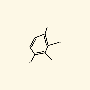 [CH2]c1ccc(C)c([CH2])c1C